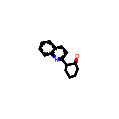 O=C1CCCCC1c1ccc2ccccc2n1